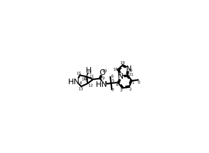 Cc1ccc(C(C)(C)NC(=O)C2C3CNC[C@@H]32)n2ccnc12